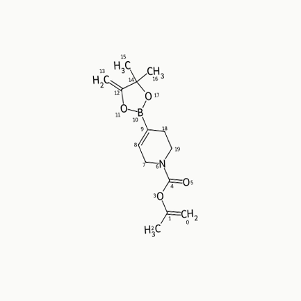 C=C(C)OC(=O)N1CC=C(B2OC(=C)C(C)(C)O2)CC1